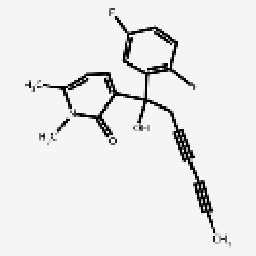 CC#CC#CCC(O)(c1cc(F)ccc1F)c1ccc(C)n(C)c1=O